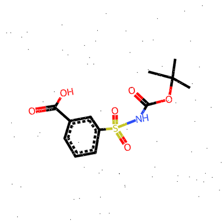 CC(C)(C)OC(=O)NS(=O)(=O)c1cccc(C(=O)O)c1